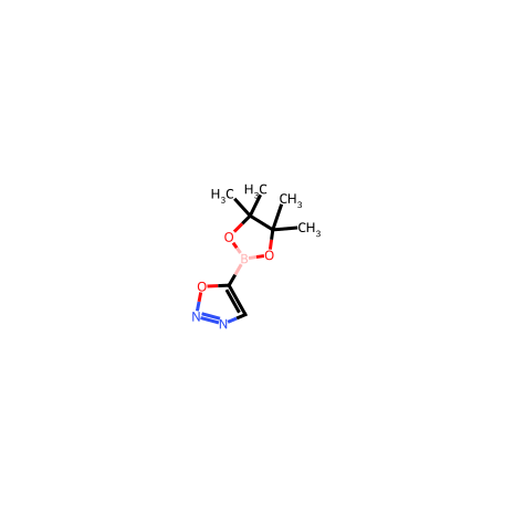 CC1(C)OB(c2cnno2)OC1(C)C